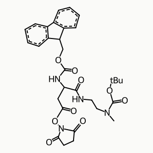 CN(CCNC(=O)C(CC(=O)ON1C(=O)CCC1=O)NC(=O)OCC1c2ccccc2-c2ccccc21)C(=O)OC(C)(C)C